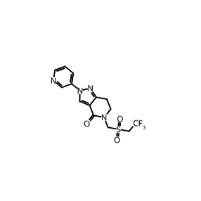 O=C1c2cn(-c3cccnc3)nc2CCN1CS(=O)(=O)CC(F)(F)F